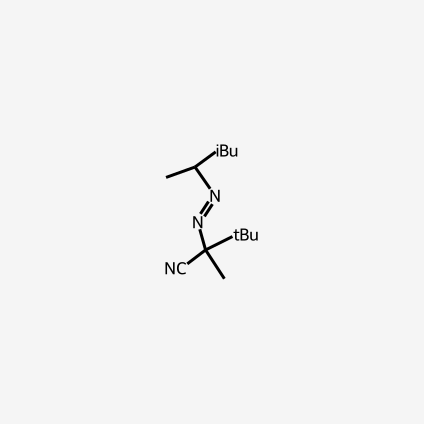 CCC(C)C(C)N=NC(C)(C#N)C(C)(C)C